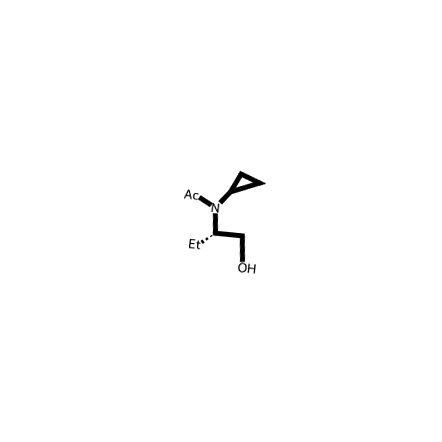 CC[C@@H](CO)N(C(C)=O)C1CC1